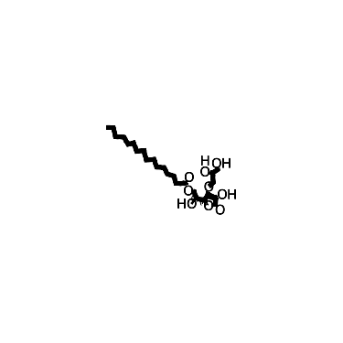 CCCCCCCCCCCCCCCC(=O)OC[C@H](O)[C@H]1OC(=O)C(O)=C1OCC(O)CO